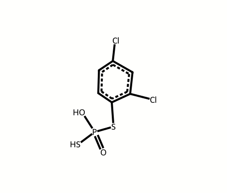 O=P(O)(S)Sc1ccc(Cl)cc1Cl